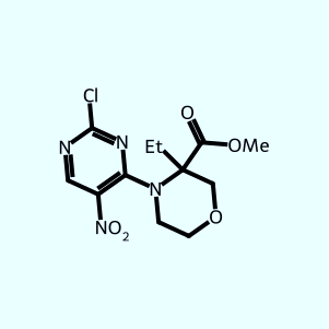 CCC1(C(=O)OC)COCCN1c1nc(Cl)ncc1[N+](=O)[O-]